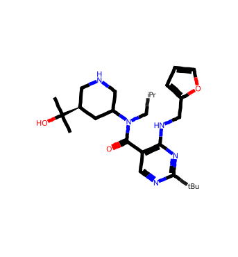 CC(C)CN(C(=O)c1cnc(C(C)(C)C)nc1NCc1ccco1)C1CNC[C@H](C(C)(C)O)C1